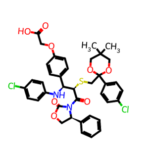 CC1(C)COC(CS[C@@H](C(=O)N2C(=O)OC[C@@H]2c2ccccc2)[C@@H](Nc2ccc(Cl)cc2)c2ccc(OCC(=O)O)cc2)(c2ccc(Cl)cc2)OC1